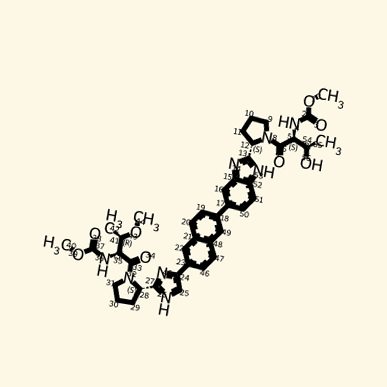 COC(=O)N[C@H](C(=O)N1CCC[C@H]1c1nc2cc(-c3ccc4cc(-c5c[nH]c([C@@H]6CCCN6C(=O)[C@@H](NC(=O)OC)[C@@H](C)OC)n5)ccc4c3)ccc2[nH]1)[C@@H](C)O